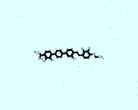 CCOc1ccc(CCc2ccc(C3=CCC(c4ccc(C(C)O)c(F)c4F)CC3)cc2F)c(F)c1F